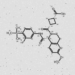 COc1ccc2c(n1)CCN(C(=O)[C@H]1C[C@@H](C(=O)O)C1)[C@H]2C(=O)Nc1ccc(S(C)(C)C)c(F)c1